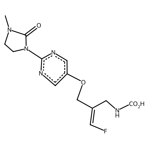 CN1CCN(c2ncc(OC/C(=C/F)CNC(=O)O)cn2)C1=O